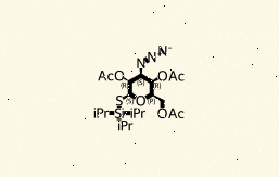 CC(=O)OC[C@H]1O[C@@H](S[Si](C(C)C)(C(C)C)C(C)C)[C@H](OC(C)=O)[C@@H](N=[N+]=[N-])[C@H]1OC(C)=O